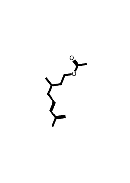 C=C(C)/C=C/CC(C)CCOC(C)=O